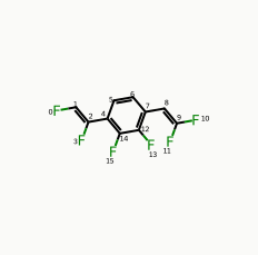 FC=C(F)c1ccc(C=C(F)F)c(F)c1F